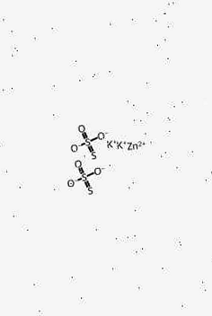 O=S([O-])([O-])=S.O=S([O-])([O-])=S.[K+].[K+].[Zn+2]